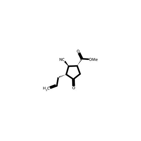 C=CC[C@H]1C(=O)C[C@@H](C(=O)OC)[C@@H]1C#N